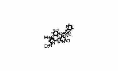 CCOC1=NC(c2nc3nc(Cl)c(NS(=O)(=O)Cc4ccccn4)nc3n2-c2c(O)cccc2OC)=C=C=C1